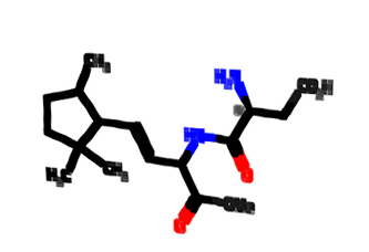 COC(=O)C(C=CC1C(C)CCC1(C)C)NC(=O)[C@@H](N)CC(=O)O